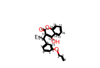 C=CCOc1cccc([C@@H](CC)c2c(O)c3ccccc3oc2=O)c1